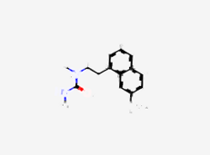 CCCNC(=O)N(C)CCc1cccc2ccc(OC)cc12